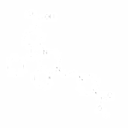 COC(=O)N1CCN(CCN2CCn3c(c(C4CCCCC4)c4ccc(C(=O)O)cc43)-c3ccccc32)CC1